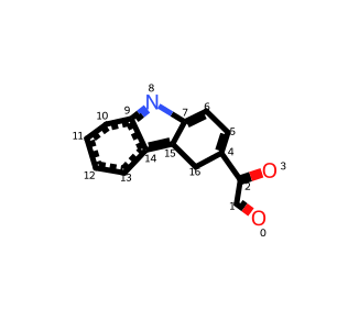 O=CC(=O)C1=CC=C2N=c3ccccc3=C2C1